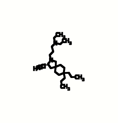 CCCC1(CCC)CCC2(CCN(CCCN(CC)CC)C2)CC1.[Cl-].[Cl-].[H+].[H+]